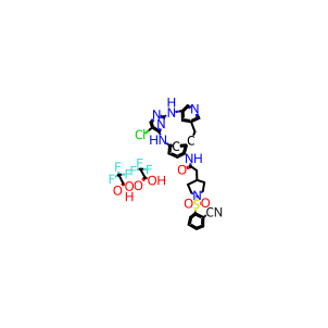 N#Cc1ccccc1S(=O)(=O)N1CCC(CC(=O)Nc2ccc3cc2CCc2cncc(c2)Nc2ncc(Cl)c(n2)N3)CC1.O=C(O)C(F)(F)F.O=C(O)C(F)(F)F